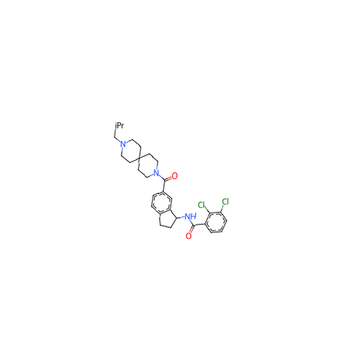 CC(C)CN1CCC2(CC1)CCN(C(=O)c1ccc3c(c1)C(NC(=O)c1cccc(Cl)c1Cl)CC3)CC2